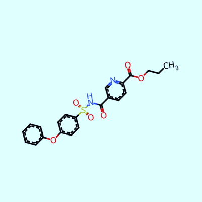 CCCOC(=O)c1ccc(C(=O)NS(=O)(=O)c2ccc(Oc3ccccc3)cc2)cn1